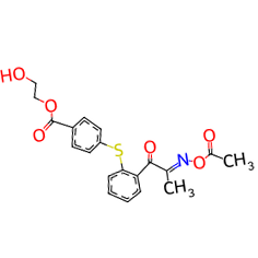 CC(=O)O/N=C(\C)C(=O)c1ccccc1Sc1ccc(C(=O)OCCO)cc1